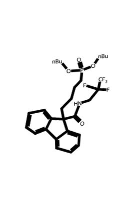 CCCCOP(=O)(CCCCC1(C(=O)NCC(F)(F)C(F)(F)F)c2ccccc2-c2ccccc21)OCCCC